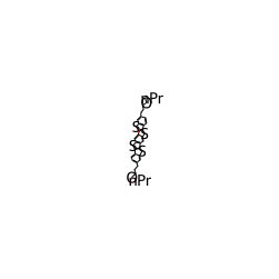 CCCOCCCc1ccc2c(c1)sc1c3cc4sc5c6ccc(CCCOCCC)cc6sc5c4cc3sc21